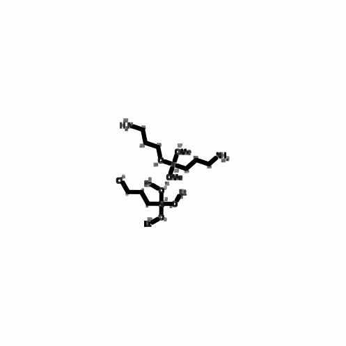 CCO[Si](CCCCl)(OCC)OCC.CO[Si](CCCN)(OC)OCCCN